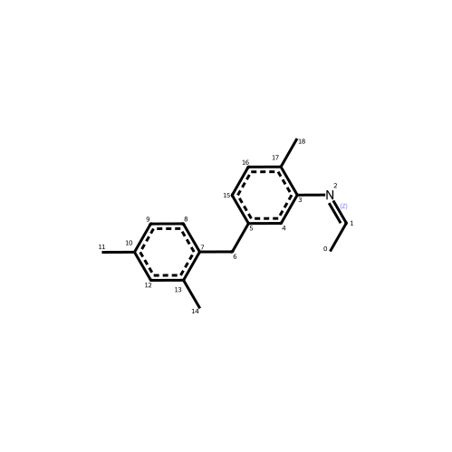 C/C=N\c1cc(Cc2ccc(C)cc2C)ccc1C